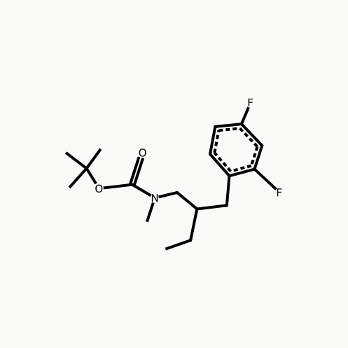 CCC(Cc1ccc(F)cc1F)CN(C)C(=O)OC(C)(C)C